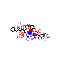 CC(C)C[C@H](NC(=O)[C@H](Cc1ccc(O)cc1)NC(=O)[C@@H](NC(=O)[C@H](CO)NC(=O)[C@@H](NC(=O)[C@@H](N)Cc1ccccc1)[C@@H](C)O)C(C)C)C(=O)O